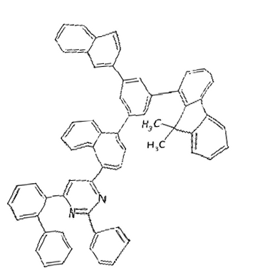 CC1(C)c2ccccc2-c2cccc(-c3cc(-c4ccc5ccccc5c4)cc(-c4ccc(-c5cc(-c6ccccc6-c6ccccc6)nc(-c6ccccc6)n5)c5ccccc45)c3)c21